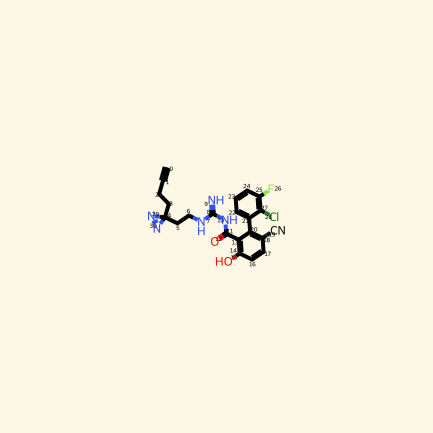 C#CCCC1(CCNC(=N)NC(=O)c2c(O)ccc(C#N)c2-c2cccc(F)c2Cl)N=N1